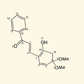 COC1(OC)C=CC(C=CC(=O)c2ccccc2)=C(O)C1